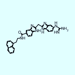 N=C(N)Nc1ccc2[nH]c(Cc3nc4cc(C(=O)NCCc5cccc6ccccc56)ccc4[nH]3)nc2c1